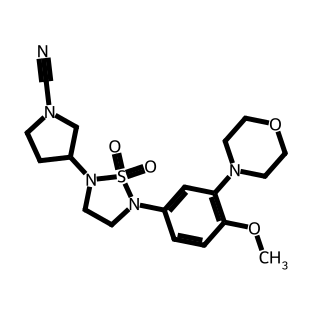 COc1ccc(N2CCN(C3CCN(C#N)C3)S2(=O)=O)cc1N1CCOCC1